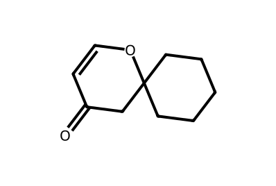 O=C1C=COC2(CCCCC2)C1